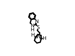 c1ccc2c(c1)CNC(SCCN1[C@@H]3CCC[C@H]1CC3)=N2